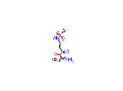 CC(C)(C)[C@H](N)C(=O)NCCNS(=O)(=O)C1CC1